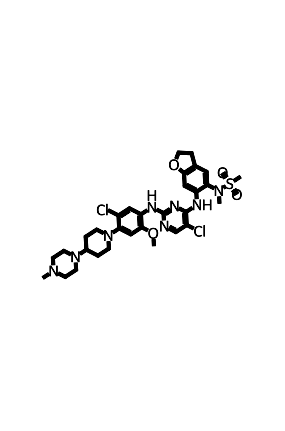 COc1cc(N2CCC(N3CCN(C)CC3)CC2)c(Cl)cc1Nc1ncc(Cl)c(Nc2cc3c(cc2N(C)S(C)(=O)=O)CCO3)n1